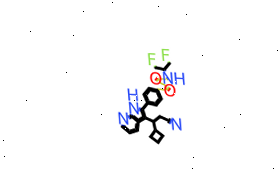 N#CCC(c1c(-c2ccc(S(=O)(=O)NC(CF)CF)cc2)[nH]c2ncccc12)C1CCC1